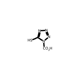 O=C(O)n1nnnc1S